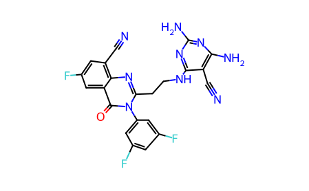 N#Cc1c(N)nc(N)nc1NCCc1nc2c(C#N)cc(F)cc2c(=O)n1-c1cc(F)cc(F)c1